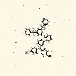 CC(C)(C)c1ccc(N(c2ccc(C(C)(C)C)cc2)c2ccc3c(c2)c2ccccc2n3-c2cc(C(C)(C)c3ccccc3)cc(C(C)(C)c3ccccc3)c2)cc1